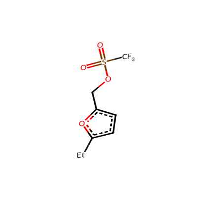 CCc1ccc(COS(=O)(=O)C(F)(F)F)o1